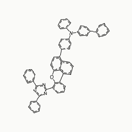 c1ccc(-c2ccc(N(c3ccccc3)c3ccc(-c4ccc5c6c(cccc46)-c4cccc(-c6nc(-c7ccccc7)nc(-c7ccccc7)n6)c4O5)cc3)cc2)cc1